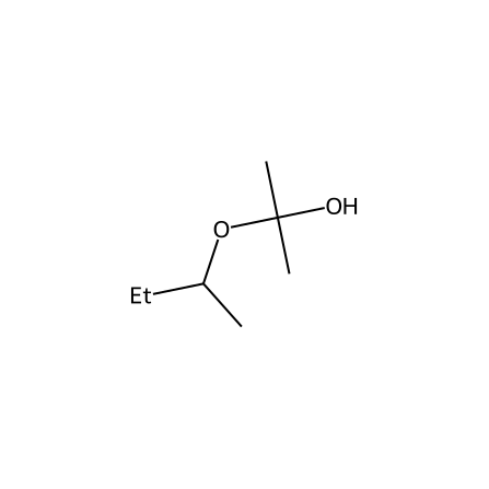 CCC(C)OC(C)(C)O